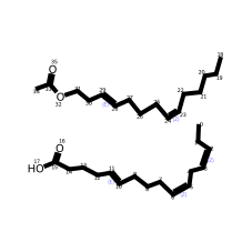 CC/C=C\C/C=C\CCC/C=C/CCCC(=O)O.CCCCC/C=C\CCC/C=C/CCOC(C)=O